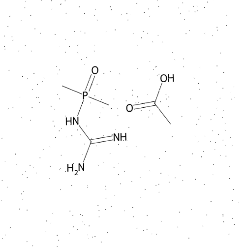 CC(=O)O.CP(C)(=O)NC(=N)N